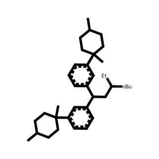 CCCCC(CC)CC(c1[c]c(C2(C)CCC(C)CC2)ccc1)c1[c]c(C2(C)CCC(C)CC2)ccc1